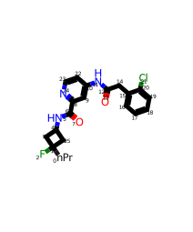 CCCC1(F)CC(NC(=O)c2cc(NC(=O)Cc3ccccc3Cl)ccn2)C1